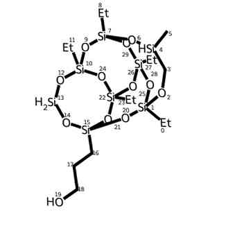 CC[Si]12OC[SiH](C)O[Si]3(CC)O[Si]4(CC)O[SiH2]O[Si](CCCO)(O1)O[Si](CC)(O4)O[Si](CC)(O2)O3